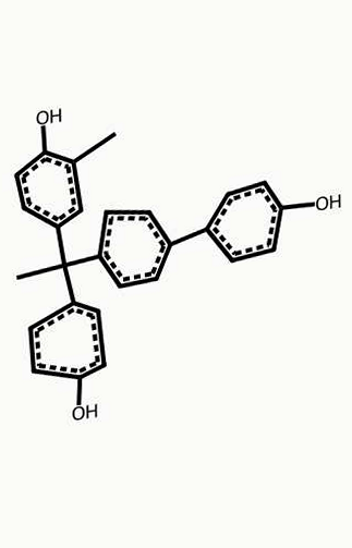 Cc1cc(C(C)(c2ccc(O)cc2)c2ccc(-c3ccc(O)cc3)cc2)ccc1O